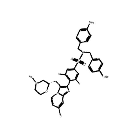 COc1ccc(CN(Cc2ccc(OC)cc2)S(=O)(=O)c2cc(F)c(-c3nc4cc(Cl)ccn4c3C[C@H]3CN(C(C)=O)CCO3)c(F)c2)cc1